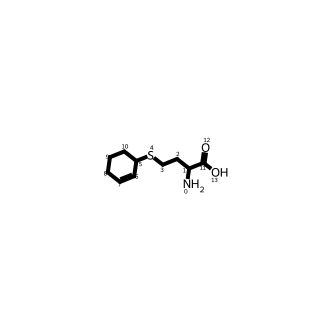 NC(CCSC1C=CCCC1)C(=O)O